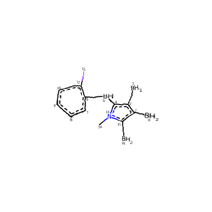 Bc1c(B)c(Bc2ccccc2I)n(C)c1B